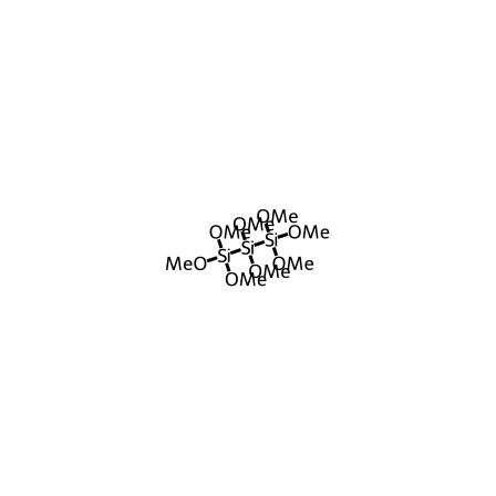 CO[Si](OC)(OC)[Si](OC)(OC)[Si](OC)(OC)OC